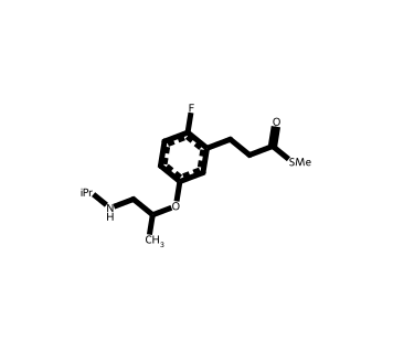 CSC(=O)CCc1cc(OC(C)CNC(C)C)ccc1F